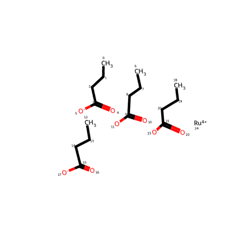 CCCC(=O)[O-].CCCC(=O)[O-].CCCC(=O)[O-].CCCC(=O)[O-].[Ru+4]